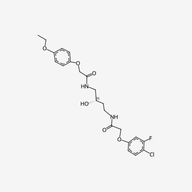 CCOc1ccc(OCC(=O)NC[C@@H](O)CCNC(=O)COc2ccc(Cl)c(F)c2)cc1